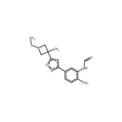 CSN1CC(C)(c2nc(-c3ccc(C)c(NC=O)c3)no2)C1